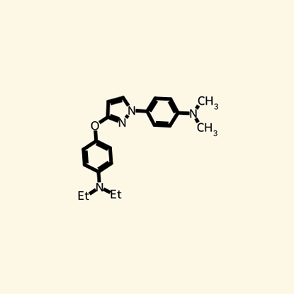 CCN(CC)c1ccc(Oc2ccn(-c3ccc(N(C)C)cc3)n2)cc1